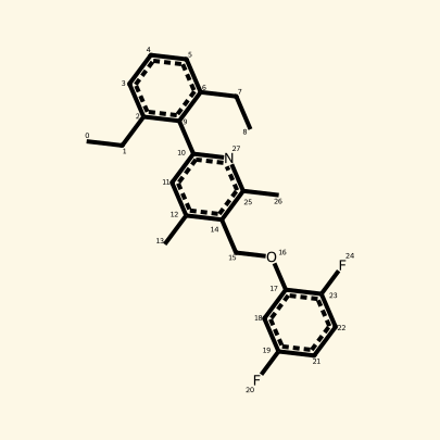 CCc1cccc(CC)c1-c1cc(C)c(COc2cc(F)ccc2F)c(C)n1